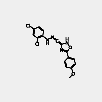 COc1ccc(C2=NC(=C=NNc3ccc(Cl)cc3Cl)NO2)cc1